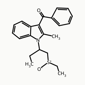 CCC(C[S+]([O-])CC)n1c(C)c(C(=O)c2ccccc2)c2ccccc21